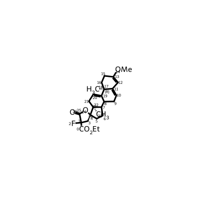 CCOC(=O)C1(F)C[C@@]2(CCC3C4CC=C5C=C(OC)CC[C@]5(C)C4=CC[C@@]32C)OC1=O